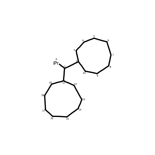 CC(C)C(C1CCCCCCCC1)C1CCCCCCCC1